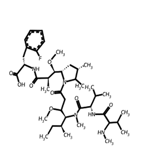 CC[C@H](C)[C@@H](C(CC(=O)N1C(C)[C@@H](C)C[C@H]1[C@H](OC)[C@@H](C)C(=O)N[C@@H](Cc1ccccc1F)C(=O)O)OC)N(C)C(=O)[C@@H](NC(=O)C(NC)C(C)C)C(C)C